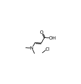 CCl.CN(C)C=CC(=O)O